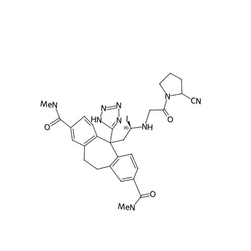 CNC(=O)c1ccc2c(c1)CCc1cc(C(=O)NC)ccc1C2(C[C@@H](I)NCC(=O)N1CCCC1C#N)c1nnn[nH]1